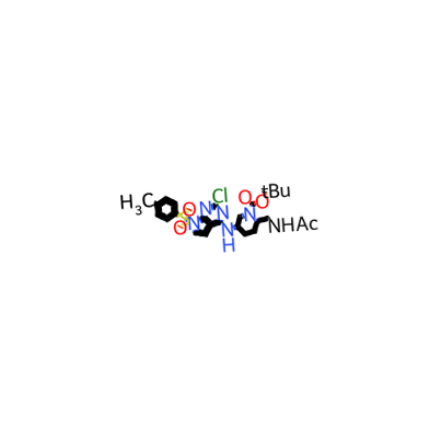 CC(=O)NCC1CCC(Nc2nc(Cl)nc3c2ccn3S(=O)(=O)c2ccc(C)cc2)CN1C(=O)OC(C)(C)C